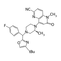 C[C@H]1CN(C(c2ccc(F)cc2)c2nc(C(C)(C)C)co2)CCN1c1cc(=O)n(C)c2ccc(C#N)nc12